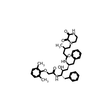 Cc1cccc(C)c1OCC(=O)N[C@@H](Cc1ccccc1)[C@@H](O)C[C@H](Cc1ccccc1)NC(=O)CC(C)CN1CCNC(=O)C1=O